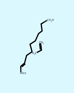 C=CC.CCCCCCCCC=CCCCCCCCC(=O)O